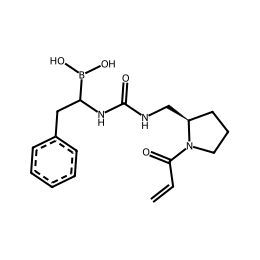 C=CC(=O)N1CCC[C@@H]1CNC(=O)NC(Cc1ccccc1)B(O)O